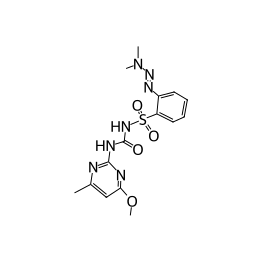 COc1cc(C)nc(NC(=O)NS(=O)(=O)c2ccccc2N=NN(C)C)n1